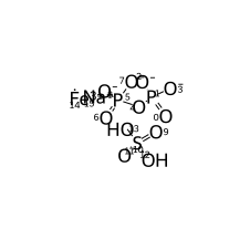 O=P([O-])([O-])OP(=O)([O-])[O-].O=S(=O)(O)O.[Fe+3].[Na+]